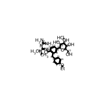 CCOc1ccc(Cc2cc(C3O[C@H](CO)[C@@H](O)[C@H](O)[C@H]3O)ccc2Cl)cc1.CN(C)C(=N)N=C(N)N.Cl